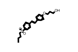 CCCCS(=O)(=O)c1ccc(C=Cc2ccc(OCCCO)cc2)cc1